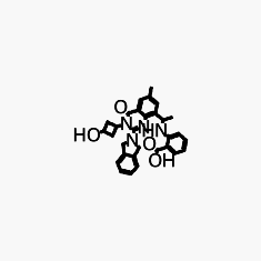 Cc1cc(C(C)Nc2ccccc2C(=O)O)c2nc(N3Cc4ccccc4C3)n(C3CC(O)C3)c(=O)c2c1